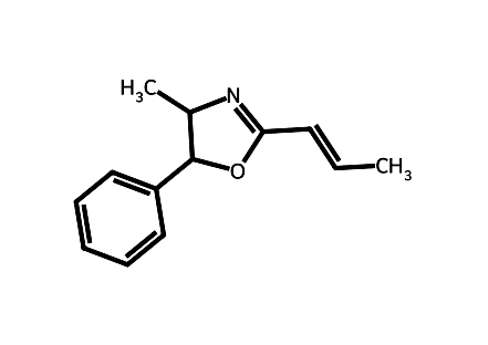 CC=CC1=NC(C)C(c2ccccc2)O1